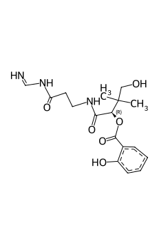 CC(C)(CO)[C@@H](OC(=O)c1ccccc1O)C(=O)NCCC(=O)NC=N